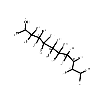 OC(F)C(F)(F)C(F)(F)C(F)(F)C(F)(F)C(F)(F)C(F)(F)C(F)C(F)C(F)F